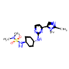 Cc1ncc(-c2ccnc(N[C@H]3CC[C@H](NS(=O)(=O)N(C)C)CC3)n2)n1C(C)C